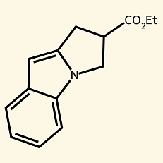 CCOC(=O)C1Cc2cc3ccccc3n2C1